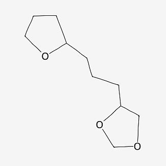 C1COC(CCCC2COCO2)C1